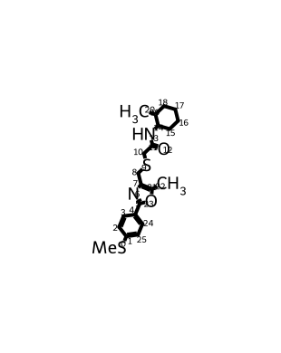 CSc1ccc(-c2nc(CSCC(=O)NC3CCCCC3C)c(C)o2)cc1